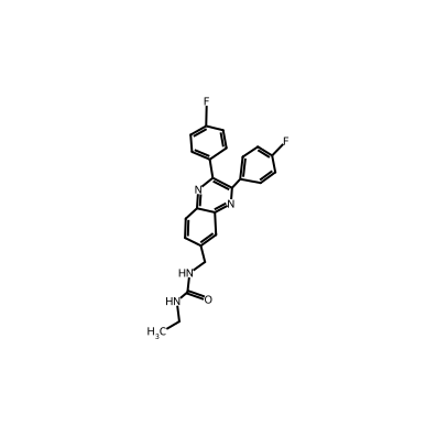 CCNC(=O)NCc1ccc2nc(-c3ccc(F)cc3)c(-c3ccc(F)cc3)nc2c1